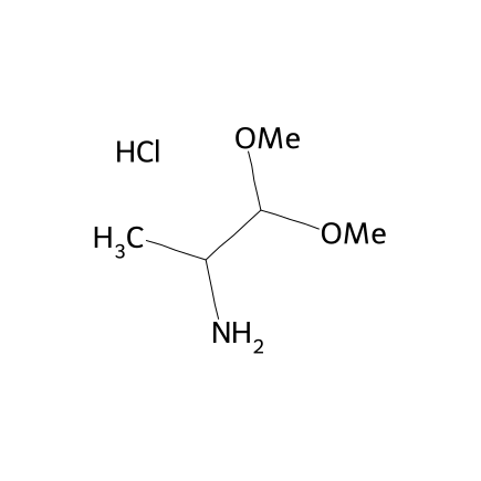 COC(OC)C(C)N.Cl